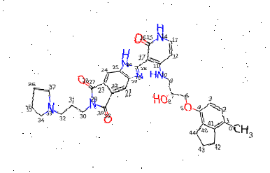 Cc1ccc(OC[C@H](O)CNc2cc[nH]c(=O)c2-c2nc3cc4c(cc3[nH]2)C(=O)N(CCCN2CCCC2)C4=O)c2c1CCC2